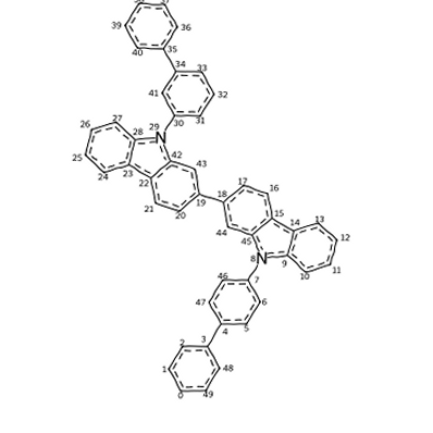 c1ccc(-c2ccc(-n3c4ccccc4c4ccc(-c5ccc6c7ccccc7n(-c7cccc(-c8ccccc8)c7)c6c5)cc43)cc2)cc1